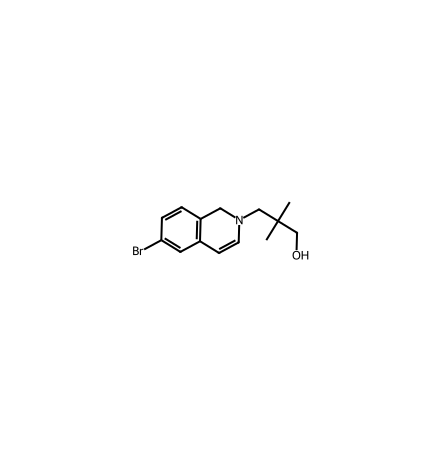 CC(C)(CO)CN1C=Cc2cc(Br)ccc2C1